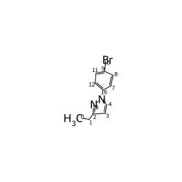 CCc1ccn(-c2ccc(Br)cc2)n1